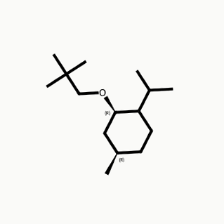 CC(C)C1CC[C@@H](C)C[C@H]1OCC(C)(C)C